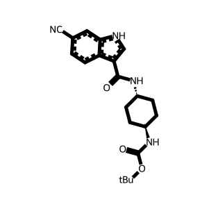 CC(C)(C)OC(=O)N[C@H]1CC[C@H](NC(=O)c2c[nH]c3cc(C#N)ccc23)CC1